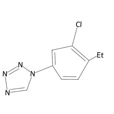 CCc1ccc(-n2cnnn2)cc1Cl